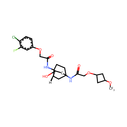 O=C(COC1CC(OC(F)(F)F)C1)NC12CCC(NC(=O)COc3ccc(Cl)c(F)c3)(CC1)[C@@H](O)C2